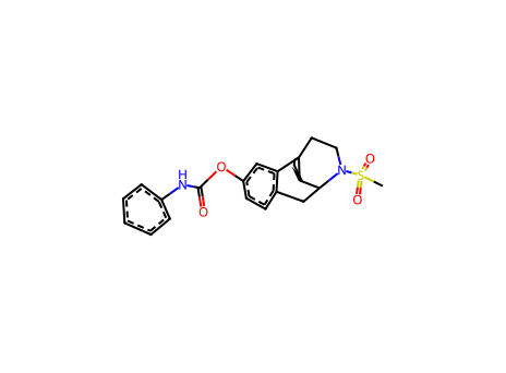 CS(=O)(=O)N1CCC23CCCCC2C1Cc1ccc(OC(=O)Nc2ccccc2)cc13